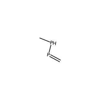 C=PPC